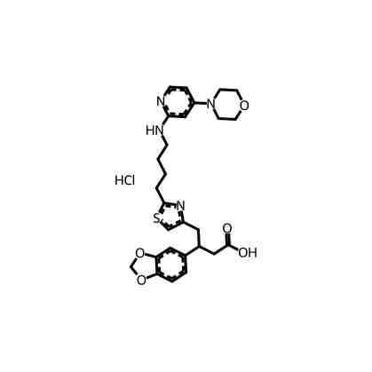 Cl.O=C(O)CC(Cc1csc(CCCCNc2cc(N3CCOCC3)ccn2)n1)c1ccc2c(c1)OCO2